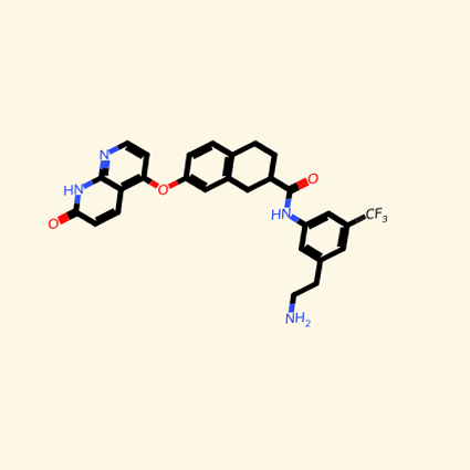 NCCc1cc(NC(=O)C2CCc3ccc(Oc4ccnc5[nH]c(=O)ccc45)cc3C2)cc(C(F)(F)F)c1